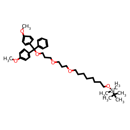 COc1ccc(C(OCCCOCCCOCCCCCCCCO[Si](C)(C)C(C)(C)C)(c2ccccc2)c2ccc(OC)cc2)cc1